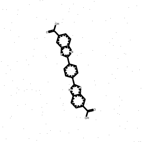 O=C(O)c1ccc2nc(-c3ccc(-c4nc5ccc(C(=O)O)cc5s4)cc3)sc2c1